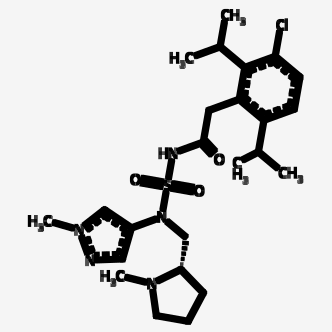 CC(C)c1ccc(Cl)c(C(C)C)c1CC(=O)NS(=O)(=O)N(C[C@@H]1CCCN1C)c1cnn(C)c1